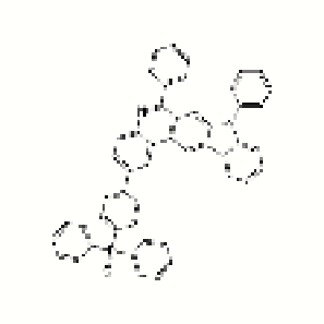 O=P(c1ccccc1)(c1ccccc1)c1ccc(-c2ccc3nc(-c4ccccc4)c4cc5c(cc4c3c2)c2ccccc2n5-c2ccccc2)cc1